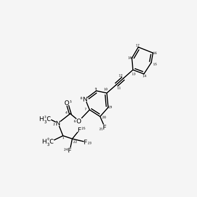 CC(N(C)C(=O)Oc1ncc(C#Cc2ccccc2)cc1F)C(F)(F)F